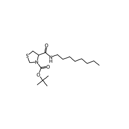 CCCCCCCCNC(=O)C1CSCN1C(=O)OC(C)(C)C